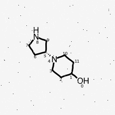 OC1CCN([C@@H]2CCNC2)CC1